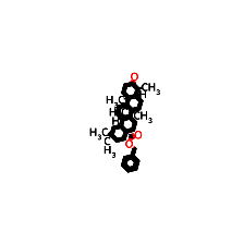 C[C@@H]1C(=O)CC[C@]2(C)C3CC=C4[C@@H]5CC(C)(C)CC[C@]5(C(=O)OCc5ccccc5)CC[C@@]4(C)[C@]3(C)CC[C@@H]12